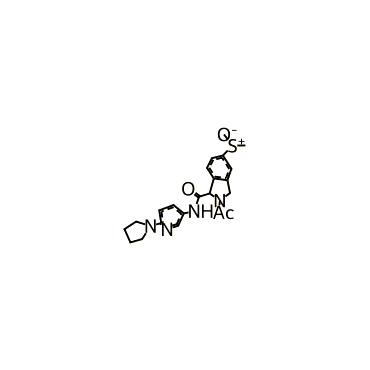 CC(=O)N1Cc2cc([S+](C)[O-])ccc2C1C(=O)Nc1ccc(N2CCCC2)nc1